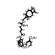 CC(=O)OC1CCC[C@]2(C1)OOC1(O2)C2CC3CC1CC(NC(=O)CCCNC(=O)OCC1[C@H]4CCc5c(nnn5C)CC[C@@H]14)(C3)C2